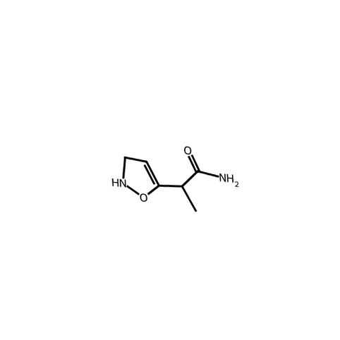 CC(C(N)=O)C1=CCNO1